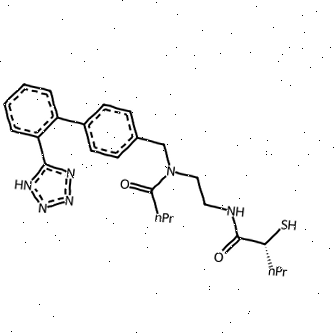 CCCC(=O)N(CCNC(=O)[C@H](S)CCC)Cc1ccc(-c2ccccc2-c2nnn[nH]2)cc1